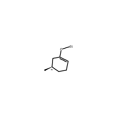 CCOC1=CCC[C@@H](C)C1